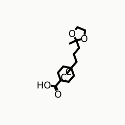 CC1(CCCC23CCC(C(=O)O)(CC2)CC3)OCCO1